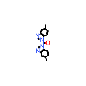 Cc1ccc2c(c1)ncn2C(=O)n1cnc2cc(C)ccc21